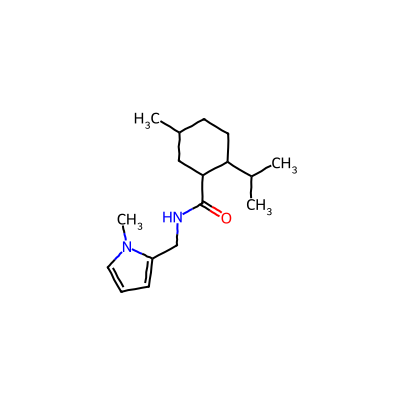 CC1CCC(C(C)C)C(C(=O)NCc2cccn2C)C1